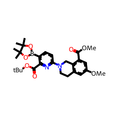 COC(=O)c1cc(OC)cc2c1CN(c1ccc(B3OC(C)(C)C(C)(C)O3)c(C(=O)OC(C)(C)C)n1)CC2